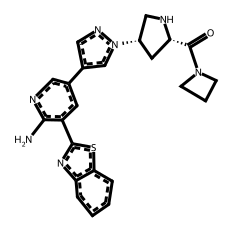 Nc1ncc(-c2cnn([C@@H]3CN[C@H](C(=O)N4CCC4)C3)c2)cc1-c1nc2ccccc2s1